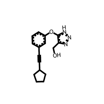 OCc1nn[nH]c1Oc1cccc(C#CC2CCCC2)c1